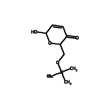 CC(C)(C)[Si](C)(C)OCC1OC(O)C=CC1=O